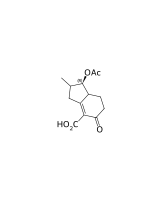 CC(=O)O[C@@H]1C(C)CC2=C(C(=O)O)C(=O)CCC21